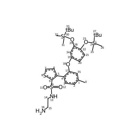 Cc1ccc(-c2ccsc2S(=O)(=O)NCCN)c(Oc2ccc(O[Si](C)(C)C(C)(C)C)c(O[Si](C)(C)C(C)(C)C)c2)c1